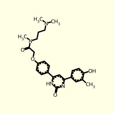 Cc1cc(-c2cc(-c3ccc(OCC(=O)N(C)CCCN(C)C)cc3)[nH]c(=O)n2)ccc1O